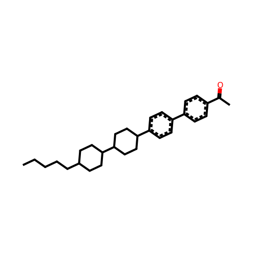 CCCCCC1CCC(C2CCC(c3ccc(-c4ccc(C(C)=O)cc4)cc3)CC2)CC1